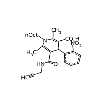 C#CCNC(=O)C1=C(C)N(CCCCCCCC)C(C)=C(C(=O)O)C1c1ccccc1[N+](=O)[O-]